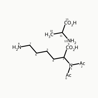 CC(=O)N(C(C)=O)C(CCCCN)C(=O)O.CC(N)C(=O)O